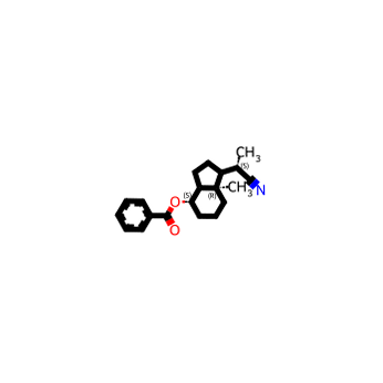 C[C@H](C#N)C1CCC2[C@@H](OC(=O)c3ccccc3)CCC[C@]12C